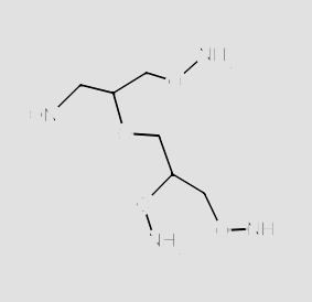 NOCC(COC(CN=O)CON)ON